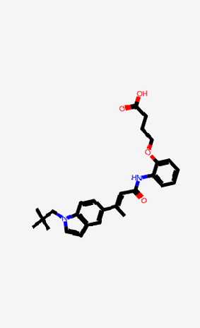 CC(=CC(=O)Nc1ccccc1OCCCC(=O)O)c1ccc2c(ccn2CC(C)(C)C)c1